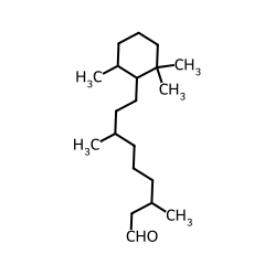 CC(CC=O)CCCC(C)CCC1C(C)CCCC1(C)C